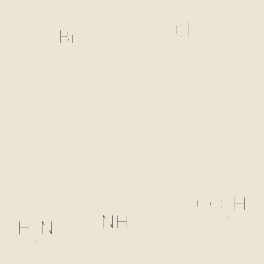 NNc1cc(Br)c(Cl)cc1C(=O)O